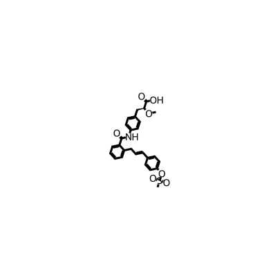 CO[C@@H](Cc1ccc(NC(=O)c2ccccc2C/C=C/c2ccc(OS(C)(=O)=O)cc2)cc1)C(=O)O